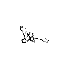 C[Si](C)(C)CCOCn1ncc(N2CCC[C@H]2COCCN)c(C(F)(F)F)c1=O